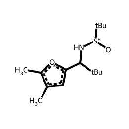 Cc1cc(C(N[S+]([O-])C(C)(C)C)C(C)(C)C)oc1C